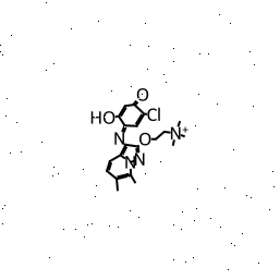 Cc1ccc2c(/N=C3\C=C(Cl)C(=O)C=C3O)c(OCC[N+](C)(C)C)nn2c1C